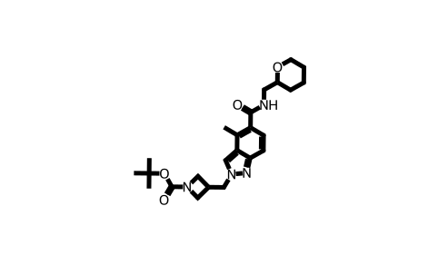 Cc1c(C(=O)NCC2CCCCO2)ccc2nn(CC3CN(C(=O)OC(C)(C)C)C3)cc12